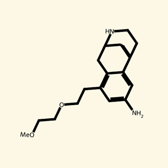 COCCOCCc1cc(N)cc2c1CC1NCCC23CCCCC13